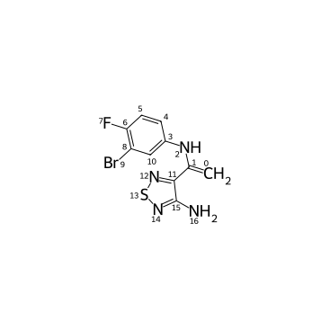 C=C(Nc1ccc(F)c(Br)c1)c1nsnc1N